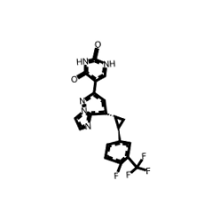 O=c1[nH]cc(-c2cc([C@@H]3C[C@H]3c3ccc(F)c(C(F)(F)F)c3)c3nccn3n2)c(=O)[nH]1